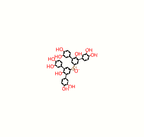 [O-][S+](c1cc(-c2ccc(O)c(O)c2)c(O)c(-c2ccc(O)c(O)c2)c1)c1cc(-c2ccc(O)c(O)c2)c(O)c(-c2ccc(O)c(O)c2)c1